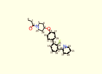 CCC(=O)N1CCC(Oc2ccc(-c3cccc(-c4ccccn4)c3F)cc2)CC1